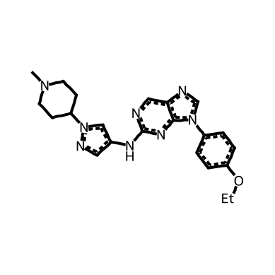 CCOc1ccc(-n2cnc3cnc(Nc4cnn(C5CCN(C)CC5)c4)nc32)cc1